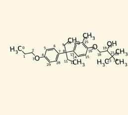 CCCOc1ccc(C(CC)(CC)c2ccc(OCC(O)C(C)(C)C)c(C)c2)cc1